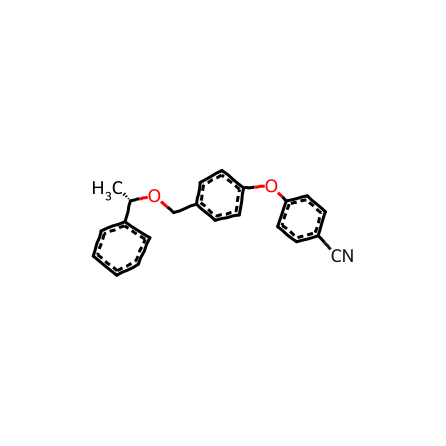 C[C@H](OCc1ccc(Oc2ccc(C#N)cc2)cc1)c1ccccc1